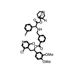 COc1ccc(C(Cc2c(Cl)cncc2Cl)OC(=O)c2cccc(CNC(C(=O)O[C@H]3CN4CCC3CC4)c3cccc(F)c3)c2)cc1OC